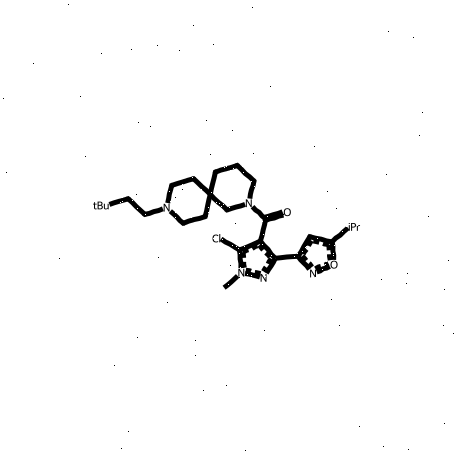 CC(C)c1cc(-c2nn(C)c(Cl)c2C(=O)N2CCCC3(CCN(CCC(C)(C)C)CC3)C2)no1